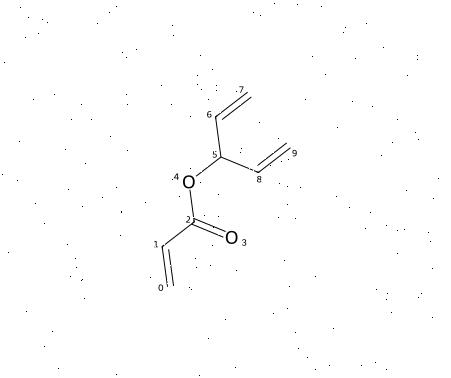 C=CC(=O)OC(C=C)C=C